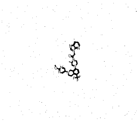 COc1ncc(N2CCc3c(C(F)(F)F)ccc(N4CCN(C(=O)Cn5cnc6cccnc65)[C@H](C)C4)c3C2)cn1